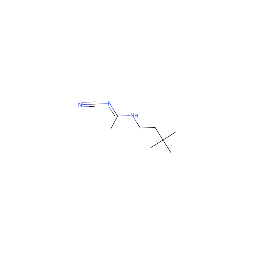 C/C(=N\C#N)NCCC(C)(C)C